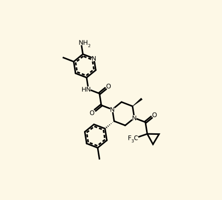 Cc1cccc([C@H]2CN(C(=O)C3(C(F)(F)F)CC3)[C@H](C)CN2C(=O)C(=O)Nc2cnc(N)c(C)c2)c1